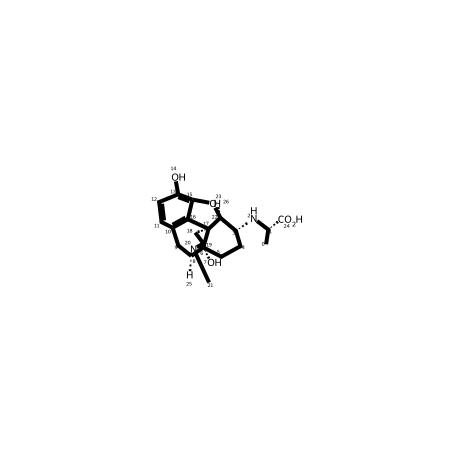 C[C@H](N[C@@H]1CC[C@@]2(O)[C@H]3Cc4ccc(O)c5c4[C@@]2(CCN3C)[C@H]1O5)C(=O)O